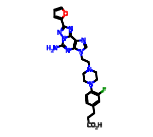 Nc1nc2c(ncn2CCN2CCN(c3ccc(CCC(=O)O)cc3F)CC2)c2nc(-c3ccco3)nn12